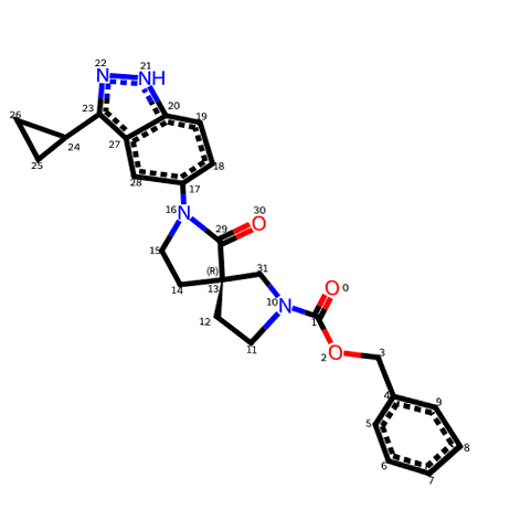 O=C(OCc1ccccc1)N1CC[C@]2(CCN(c3ccc4[nH]nc(C5CC5)c4c3)C2=O)C1